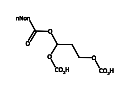 CCCCCCCCCC(=O)OC(CCOC(=O)O)OC(=O)O